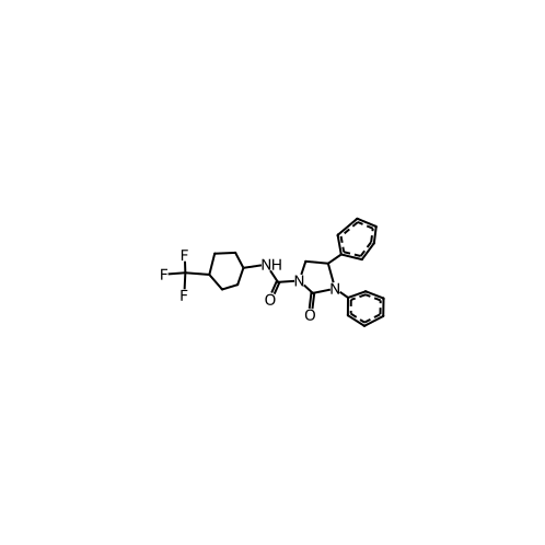 O=C(NC1CCC(C(F)(F)F)CC1)N1CC(c2ccccc2)N(c2ccccc2)C1=O